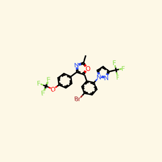 Cc1nc(-c2ccc(OC(F)(F)F)cc2)c(-c2cc(Br)ccc2-n2ccc(C(F)(F)F)n2)o1